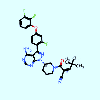 CC(C)(C)/C=C(/C#N)C(=O)N1CCC[C@@H](n2nc(-c3ccc(Oc4cccc(F)c4F)cc3F)c3c(N)ncnc32)C1